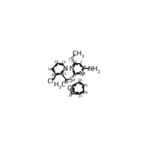 CSc1cc(N)nc(SC(C)c2ncccc2Cl)n1.c1cc2cc(c1)OC2